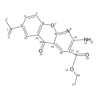 C=C(C)c1ccc2oc3nc(N)c(C(=O)OCC)cc3c(=O)c2c1